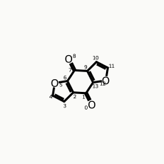 O=C1c2ccoc2C(=O)c2ccoc21